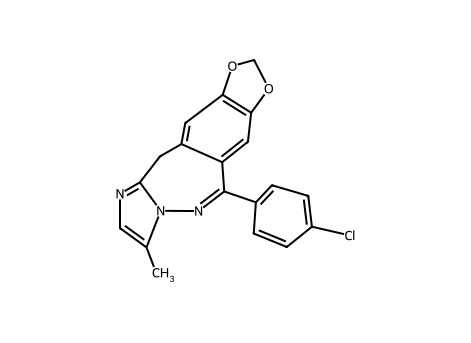 Cc1cnc2n1N=C(c1ccc(Cl)cc1)c1cc3c(cc1C2)OCO3